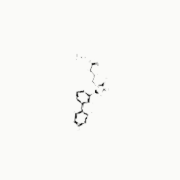 O=C(O)CCCn1c(-c2cccc(-c3ccccc3)c2)n[nH]c1=S